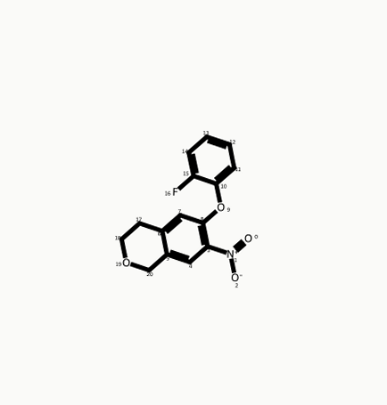 O=[N+]([O-])c1cc2c(cc1Oc1ccccc1F)CCOC2